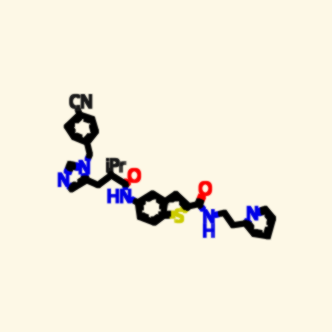 CC(C)C(Cc1cncn1Cc1ccc(C#N)cc1)C(=O)Nc1ccc2sc(C(=O)NCCc3ccccn3)cc2c1